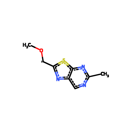 CO[C]c1nc2cnc(C)nc2s1